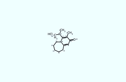 Cc1c(N(C)C)n2c(cc1=O)CCCCC2.Cl